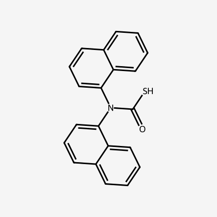 O=C(S)N(c1cccc2ccccc12)c1cccc2ccccc12